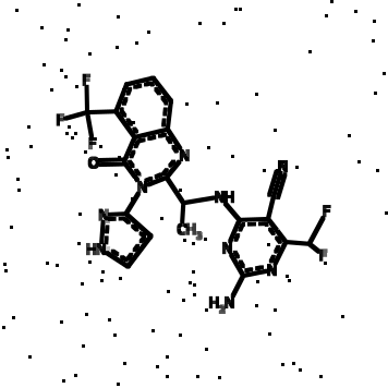 CC(Nc1nc(N)nc(C(F)F)c1C#N)c1nc2cccc(C(F)(F)F)c2c(=O)n1-c1cc[nH]n1